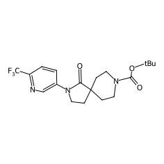 CC(C)(C)OC(=O)N1CCC2(CC1)CCN(c1ccc(C(F)(F)F)nc1)C2=O